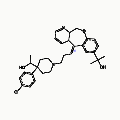 CC(O)C1(c2ccc(Cl)cc2)CCN(CC/C=C2/c3cc(C(C)(C)O)ccc3OCC3N=CC=CC23)CC1